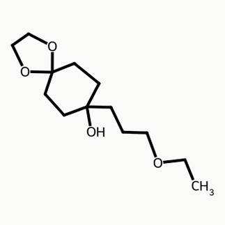 CCOCCCC1(O)CCC2(CC1)OCCO2